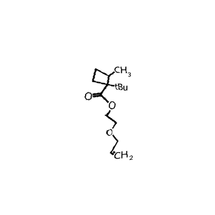 C=CCOCCOC(=O)C1(C(C)(C)C)CCC1C